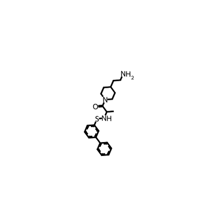 CC(NSc1cccc(-c2ccccc2)c1)C(=O)N1CCC(CCN)CC1